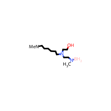 BN(C)CCN(CCO)CCCCCCNC